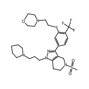 CS(=O)(=O)N1CCc2c(c(-c3ccc(C(F)(F)F)c(SCCN4CCOCC4)c3)nn2CCCN2CCCCC2)C1